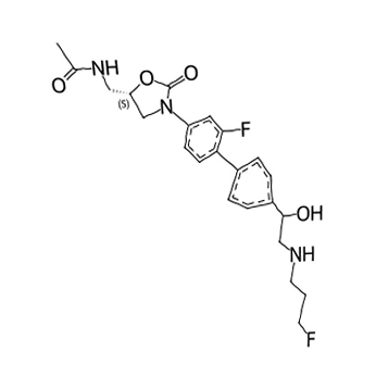 CC(=O)NC[C@H]1CN(c2ccc(-c3ccc(C(O)CNCCCF)cc3)c(F)c2)C(=O)O1